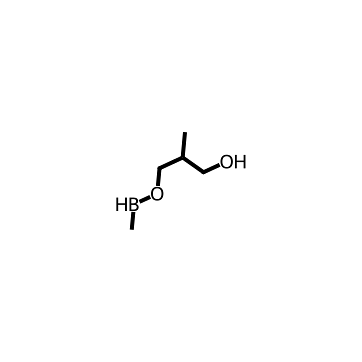 CBOCC(C)CO